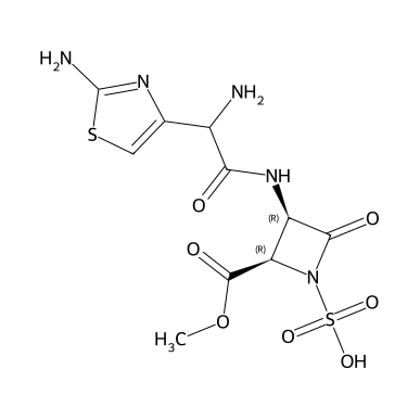 COC(=O)[C@H]1[C@@H](NC(=O)C(N)c2csc(N)n2)C(=O)N1S(=O)(=O)O